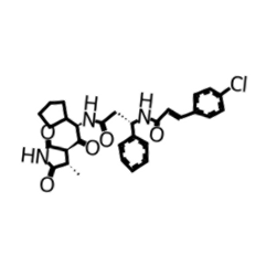 C[C@@H]1C(=O)NC(=O)[C@H]1C(=O)[C@@H](NC(=O)C[C@H](NC(=O)/C=C/c1ccc(Cl)cc1)c1ccccc1)C1CCCC1